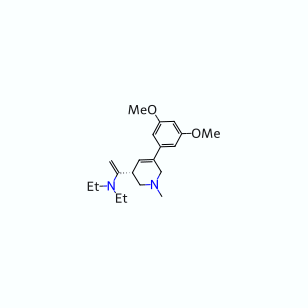 C=C([C@@H]1C=C(c2cc(OC)cc(OC)c2)CN(C)C1)N(CC)CC